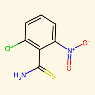 NC(=S)c1c(Cl)cccc1[N+](=O)[O-]